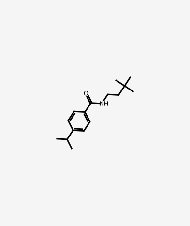 CC(C)c1ccc(C(=O)NCCC(C)(C)C)cc1